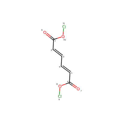 O=C(C=CC=CC(=O)OCl)OCl